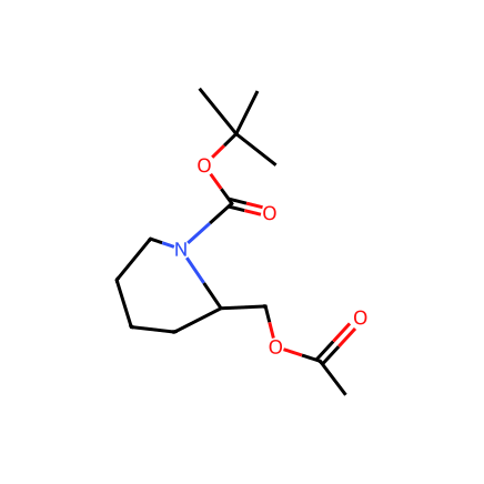 CC(=O)OCC1CCCCN1C(=O)OC(C)(C)C